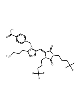 CCCCc1ncc(C=C2C(=O)N(CCCC(F)(F)F)C(=O)N2CCCC(F)(F)F)n1Cc1ccc(C(=O)O)cc1